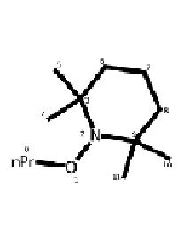 [CH2]CCON1C(C)(C)CCCC1(C)C